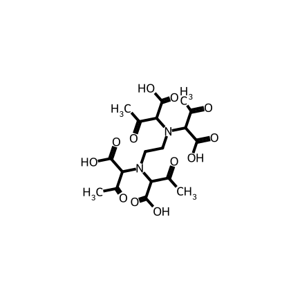 CC(=O)C(C(=O)O)N(CCN(C(C(C)=O)C(=O)O)C(C(C)=O)C(=O)O)C(C(C)=O)C(=O)O